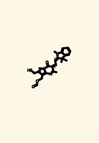 Cc1nc2c(COC=O)c(CS)nn2c(=O)/c1=C\C=C1\N(C)c2ccccc2C1(C)C